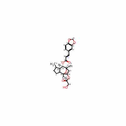 CC1CCC2[C@@H]1[C@H](OC(=O)/C=C/c1ccc3c(c1)OCO3)C1(C(C)C)CC(OC(=O)CO)C2(C)O1